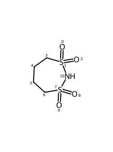 O=S1(=O)CCCCS(=O)(=O)N1